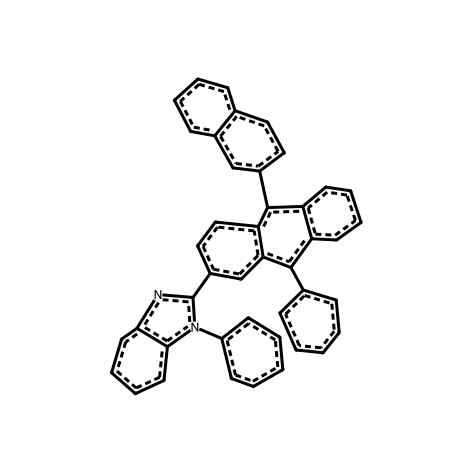 c1ccc(-c2c3ccccc3c(-c3ccc4ccccc4c3)c3ccc(-c4nc5ccccc5n4-c4ccccc4)cc23)cc1